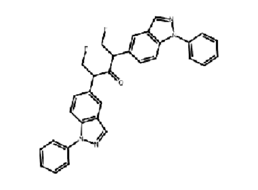 O=C(C(CF)c1ccc2c(cnn2-c2ccccc2)c1)C(CF)c1ccc2c(cnn2-c2ccccc2)c1